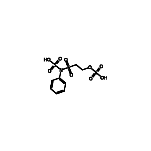 O=S(=O)(O)OCCS(=O)(=O)N(c1ccccc1)S(=O)(=O)O